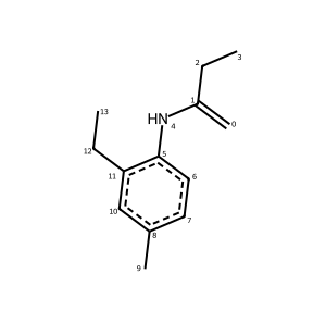 C=C(CC)Nc1ccc(C)cc1CC